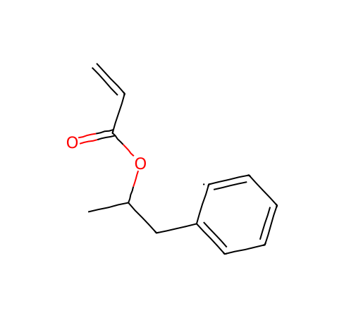 C=CC(=O)OC(C)Cc1[c]cccc1